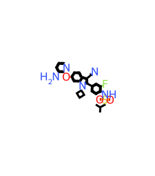 CC(C)CS(=O)(=O)Nc1ccc(-c2c(C#N)c3ccc(Oc4ncccc4N)cc3n2C2CCC2)cc1F